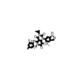 Cc1c(=O)n(C)c(Nc2ccc(I)cc2F)c2c(=O)n(C3CC3)c(=O)n(-c3ccc4cn[nH]c4c3)c12